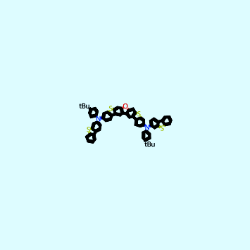 CC(C)(C)c1ccc(N(c2ccc3c(c2)sc2ccccc23)c2ccc3c(c2)sc2cc4oc5cc6sc7cc(N(c8ccc(C(C)(C)C)cc8)c8ccc9c(c8)sc8ccccc89)ccc7c6cc5c4cc23)cc1